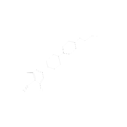 CCCCC1CCC(C2CCC(c3cc(F)c(C#N)c(Cl)c3)CC2)CC1